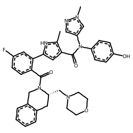 Cc1[nH]c(-c2cc(F)ccc2C(=O)N2Cc3ccccc3C[C@H]2CN2CCOCC2)cc1C(=O)N(c1ccc(O)cc1)c1cnn(C)c1